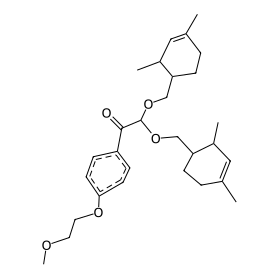 COCCOc1ccc(C(=O)C(OCC2CCC(C)=CC2C)OCC2CCC(C)=CC2C)cc1